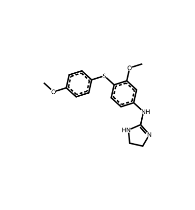 COc1ccc(Sc2ccc(NC3=NCCN3)cc2OC)cc1